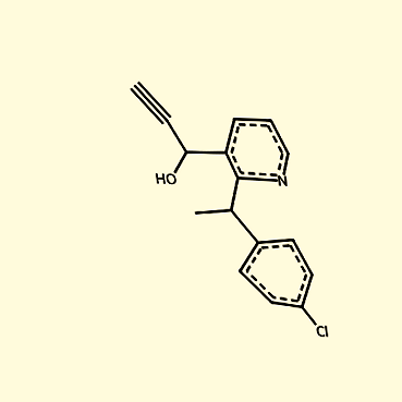 C#CC(O)c1cccnc1C(C)c1ccc(Cl)cc1